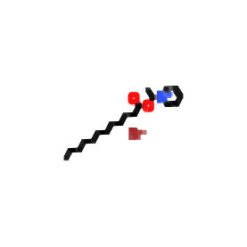 CCCCCCCCCCCC(=O)OC(C)[n+]1ccccc1.[Br-]